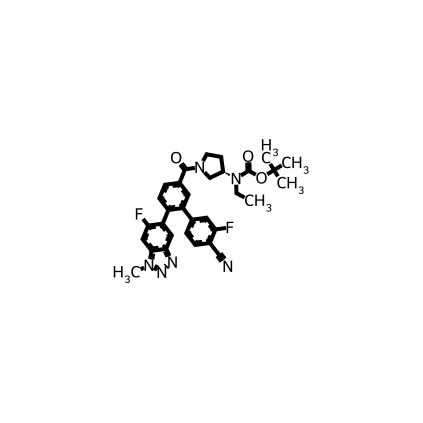 CCN(C(=O)OC(C)(C)C)[C@H]1CCN(C(=O)c2ccc(-c3cc4nnn(C)c4cc3F)c(-c3ccc(C#N)c(F)c3)c2)C1